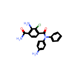 NC(=O)c1ccc(C(=O)N(c2ccccc2)c2ccc(N)cc2)c(Cl)c1N